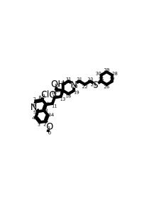 COc1ccc2ncc(Cl)c(CCCC3(C(=O)O)CCN(CCCSC4CCCCC4)CC3)c2c1